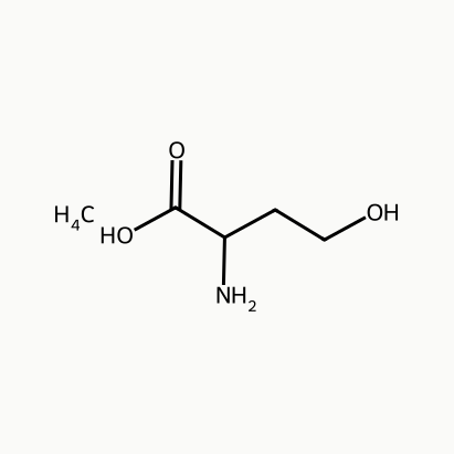 C.NC(CCO)C(=O)O